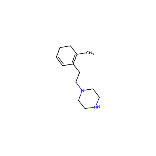 CC1=C(CCN2CCNCC2)C=CCC1